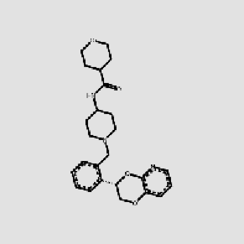 O=C(NC1CCN(Cc2ccccc2[C@H]2COc3cccnc3O2)CC1)C1CCOCC1